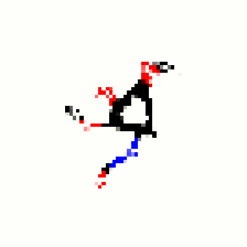 COc1ccc(NC=O)c(OC)c1O